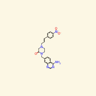 Nc1ncnc2cc(CN3CCN(CC=Cc4ccc([N+](=O)[O-])cc4)CC3=O)ccc12